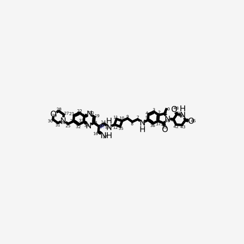 CC1c2ccc(NCCCC3CC(N/C=C(\C=N)c4cnc5ccc(CN6CCOCC6)cc5n4)C3)cc2C(=O)N1C1CCC(=O)NC1=O